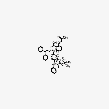 CC(C)(C)OC(=O)N[C@@H](Cc1ccccc1)C(=O)N[C@@H](Cc1ccc(OCC(=O)O)c(C(=O)O)c1)C(=O)NOCCC(c1ccccc1)c1ccccc1